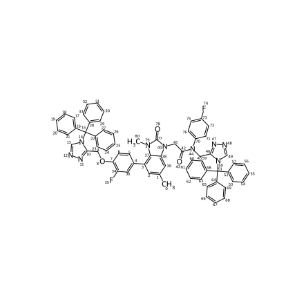 Cc1cc(-c2ccc(OCc3nncn3C(c3ccccc3)(c3ccccc3)c3ccccc3)c(F)c2)c2c(c1)n(CC(=O)N(Cc1nncn1C(c1ccccc1)(c1ccccc1)c1ccccc1)c1ccc(F)cc1)c(=O)n2C